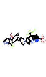 O=C(O)c1cc(C(F)(F)F)c2cc(N3CCC4(CC3)CC(=Cc3c(-c5ccncc5C(F)(F)F)noc3C3CC3)C4)ccc2n1